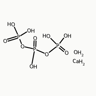 O.O=P(O)(O)OP(=O)(O)OP(=O)(O)O.[CaH2]